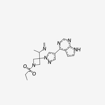 C=NC(C)C1(n2cc(-c3ncnc4[nH]ccc34)cn2)CN(S(=O)(=O)CC)C1